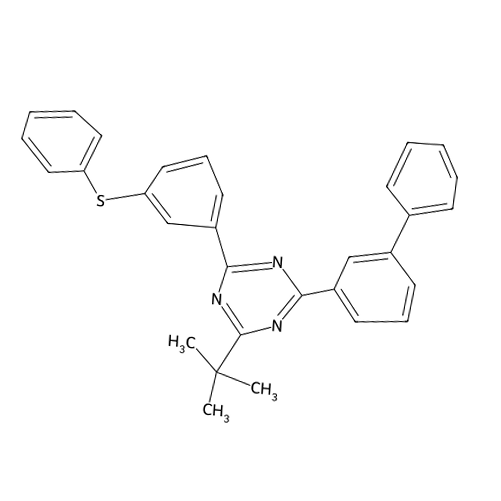 CC(C)(C)c1nc(-c2cccc(Sc3ccccc3)c2)nc(-c2cccc(-c3ccccc3)c2)n1